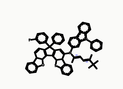 C/C(=C\C=C(/C)C(C)(C)C)N(C1=CC2=C(C3=C(C=CC4c5ccccc5OC34)C2(c2ccccc2)c2cccc(F)c2)C2Sc3ccccc3C12)c1ccc2c3ccccc3n(-c3ccccc3)c2c1